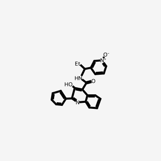 CCC(NC(=O)c1c(O)c(-c2ccccc2)nc2ccccc12)c1ccc[n+]([O-])c1